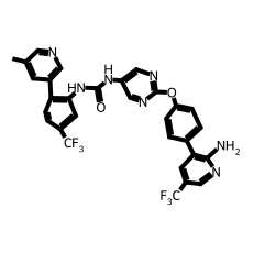 Cc1cncc(-c2ccc(C(F)(F)F)cc2NC(=O)Nc2cnc(Oc3ccc(-c4cc(C(F)(F)F)cnc4N)cc3)nc2)c1